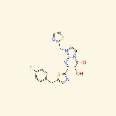 O=c1c(O)c(-c2ncc(Cc3ccc(F)cc3)s2)nc2n(Cc3nccs3)ccn12